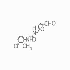 Cc1c(Cl)cccc1NCC(=O)NCc1ccc(C=O)o1